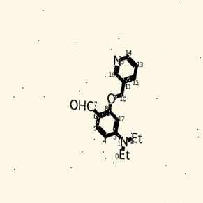 CCN(CC)c1ccc(C=O)c(OCc2cccnc2)c1